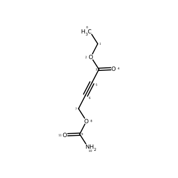 CCOC(=O)C#CCOC(N)=O